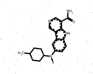 CC1CCC(N(F)c2ccc3[nH]c4c(C(N)=O)cncc4c3c2)CC1